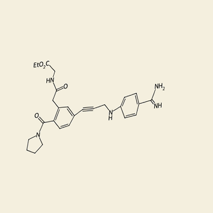 CCOC(=O)CNC(=O)Cc1cc(C#CCNc2ccc(C(=N)N)cc2)ccc1C(=O)N1CCCC1